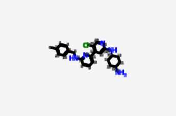 Cc1ccc(CNc2cccc(-c3cc(N[C@H]4CC[C@H](N)CC4)ncc3Cl)n2)cc1